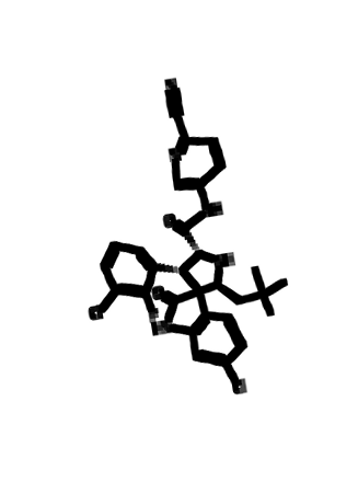 CC(C)(C)C[C@@H]1N[C@@H](C(=O)Nc2ccc(C#N)nc2)[C@@H](c2cccc(Cl)c2F)C12C(=O)Nc1cc(Cl)ccc12